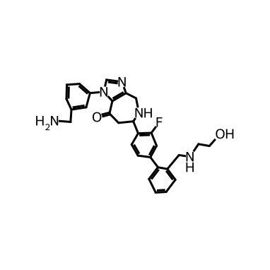 NCc1cccc(-n2cnc3c2C(=O)CC(c2ccc(-c4ccccc4CNCCO)cc2F)NC3)c1